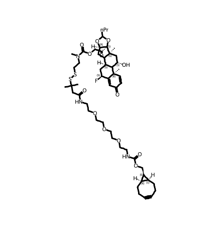 CCCC1O[C@@H]2CC3[C@@H]4C[C@H](F)C5=CC(=O)C=C[C@]5(C)C4[C@@H](O)C[C@]3(C)[C@]2(C(=O)COC(=O)N(C)CCSSC(C)(C)CC(=O)NCCOCCOCCOCCNC(=O)OC[C@@H]2[C@@H]3CCC#CCC[C@@H]32)O1